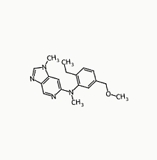 CCc1ccc(COC)cc1N(C)c1cc2c(cn1)ncn2C